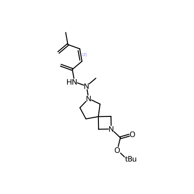 C=C(C)/C=C\C(=C)NN(C)N1CCC2(CN(C(=O)OC(C)(C)C)C2)C1